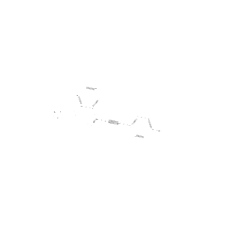 CCc1ccc(C#CC(=O)c2ccccc2SC)cc1